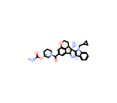 NC(=O)O[C@@H]1CCCN(C(=O)c2cc3c4c(c2)C(N)[C@](N)(c2cc5ccccc5n2CC2CC2)C4CCO3)C1